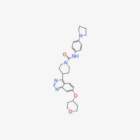 O=C(Nc1ccc(N2CCCC2)cc1)N1CCC(c2ncnc3cc(OC4CCOCC4)ccc23)CC1